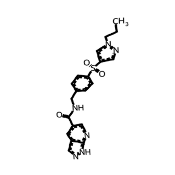 CCCn1cc(S(=O)(=O)c2ccc(CNC(=O)c3cnc4[nH]ncc4c3)cc2)cn1